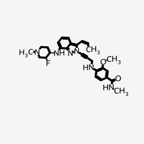 C/C=C\c1c2cccc(N[C@@H]3CCN(C)C[C@@H]3F)c2nn1C#CCNc1ccc(C(=O)NC)cc1OC